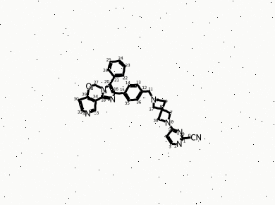 N#Cc1nccc(N2CC3(CN(Cc4ccc(-c5nc6n(c5-c5ccccc5)COc5ccncc5-6)cc4)C3)C2)n1